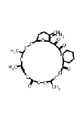 COC12OC(CCC(C)CC(C)=CCC(=O)CCC(C)COC(=O)C3CCCCN3C(=O)C1=O)CCC2C